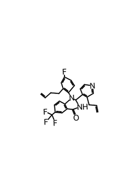 C=CCCc1cc(F)ccc1N1c2ccc(C(F)(F)F)cc2C(=O)NC1c1ccncc1CC=C